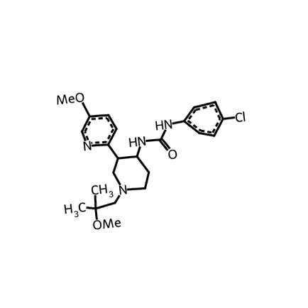 COc1ccc(C2CN(CC(C)(C)OC)CCC2NC(=O)Nc2ccc(Cl)cc2)nc1